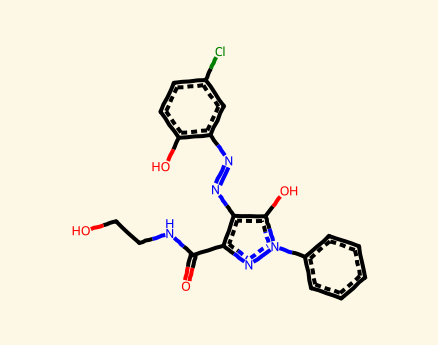 O=C(NCCO)c1nn(-c2ccccc2)c(O)c1N=Nc1cc(Cl)ccc1O